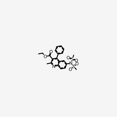 CCOC(=O)c1c(C)nc2ccc(N(S(C)(=O)=O)S(C)(=O)=O)cc2c1-c1ccccc1